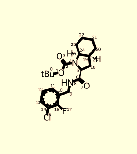 CC(C)(C)OC(=O)N1[C@H](C(=O)NCc2cccc(Cl)c2F)C[C@@H]2CCCC[C@@H]21